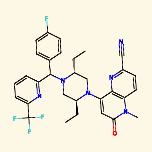 CC[C@H]1CN(C(c2ccc(F)cc2)c2cccc(C(F)(F)F)n2)[C@H](CC)CN1c1cc(=O)n(C)c2ccc(C#N)nc12